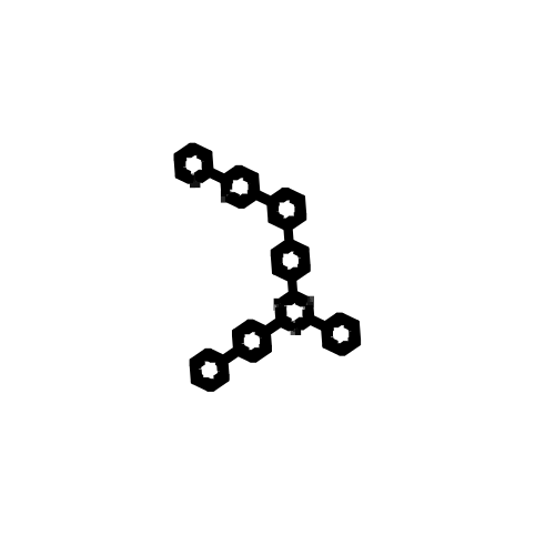 c1ccc(-c2ccc(-c3nc(-c4ccccc4)nc(-c4ccc(-c5cccc(-c6ccc(-c7ccccn7)nc6)c5)cc4)n3)cc2)cc1